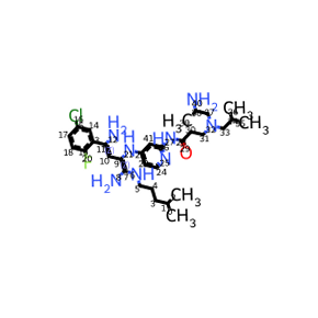 CC(C)CCCN/C(N)=C(/C=C(\N)c1cc(Cl)ccc1F)Nc1ccnc(NC(=O)CCN(CC(C)C)CC(C)N)c1